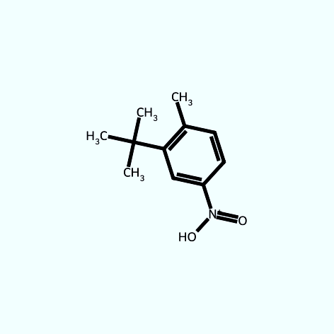 Cc1ccc([N+](=O)O)cc1C(C)(C)C